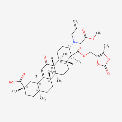 C=CCN(CC(=O)OC)[C@H]1CC[C@@]2(C)[C@@H](CC[C@]3(C)[C@@H]2C(=O)C=C2[C@@H]4C[C@@](C)(C(=O)O)CC[C@]4(C)CC[C@]23C)[C@]1(C)C(=O)OCc1oc(=O)oc1C